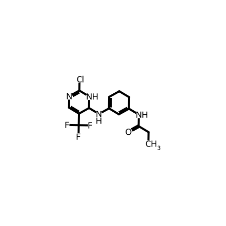 CCC(=O)NC1=CC(NC2NC(Cl)=NC=C2C(F)(F)F)=CCC1